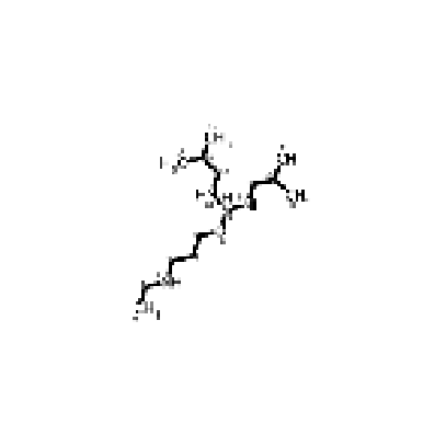 CCNCCCO[SiH](NCC(C)C)NCC(C)C